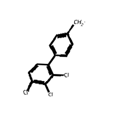 [CH2]c1ccc(-c2ccc(Cl)c(Cl)c2Cl)cc1